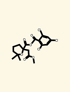 COC(=O)CC1(C(=O)OC(=O)c2c(Cl)cc(Cl)cc2Cl)CCCC(C)(C)O1